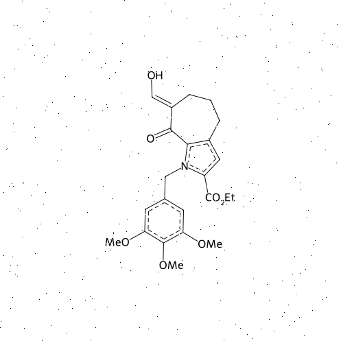 CCOC(=O)c1cc2c(n1Cc1cc(OC)c(OC)c(OC)c1)C(=O)C(=CO)CCC2